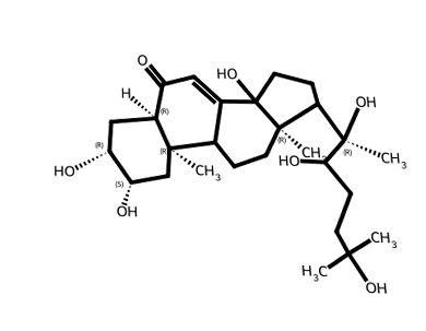 CC(C)(O)CCC(O)[C@](C)(O)C1CCC2(O)C3=CC(=O)[C@@H]4C[C@@H](O)[C@@H](O)C[C@]4(C)C3CC[C@]12C